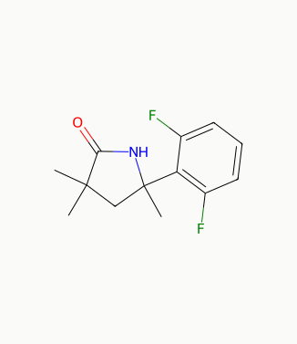 CC1(C)CC(C)(c2c(F)cccc2F)NC1=O